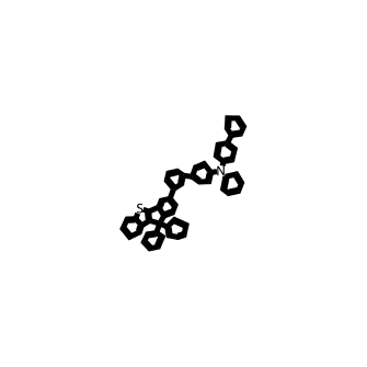 c1ccc(-c2ccc(N(c3ccccc3)c3ccc(-c4cccc(-c5ccc6c(c5)-c5sc7ccccc7c5C6(c5ccccc5)c5ccccc5)c4)cc3)cc2)cc1